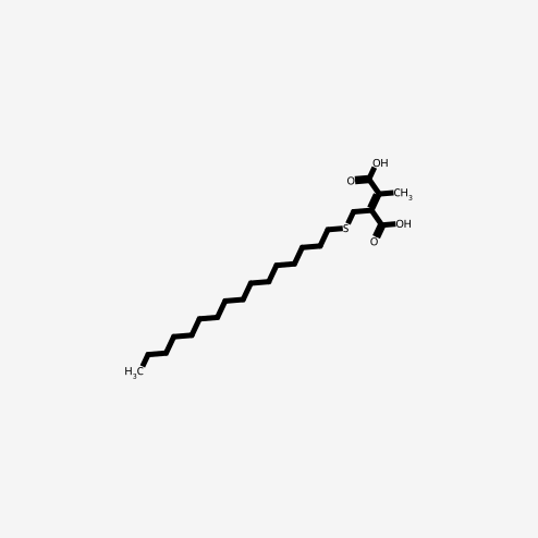 CCCCCCCCCCCCCCCCSCC(C(=O)O)=C(C)C(=O)O